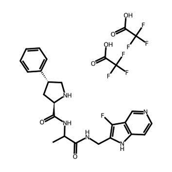 CC(NC(=O)[C@H]1C[C@H](c2ccccc2)CN1)C(=O)NCc1[nH]c2ccncc2c1F.O=C(O)C(F)(F)F.O=C(O)C(F)(F)F